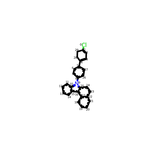 ClC1=CC=C(c2ccc(-n3c4ccccc4c4c5ccccc5ccc43)cc2)CC1